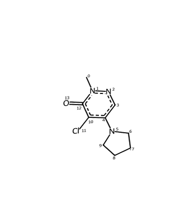 Cn1ncc(N2C[CH]CC2)c(Cl)c1=O